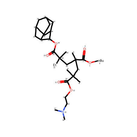 CCCCOC(=O)C(C)(CC(C)(C)C(=O)OCCN(C)C)CC(C)(CC)C(=O)OC1C2CC3CC(C2)CC1C3